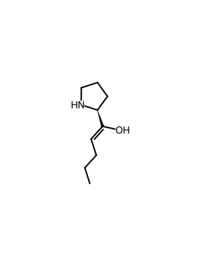 CCCC=C(O)[C@@H]1CCCN1